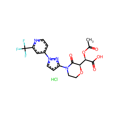 CC(=O)O[C@@H](C(=O)O)[C@H]1OCCN(c2ccn(-c3ccnc(C(F)(F)F)c3)n2)C1=O.Cl